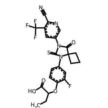 CCC(Oc1ccc(N2C(=S)N(c3cnc(C#N)c(C(F)(F)F)c3)C(=O)C23CCC3)cc1F)C(=O)O